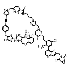 Cc1c(CC[C@@H]2CN(Cc3cnn(CCCNC(=O)c4ccc(Cn5cc(C#Cc6ccc(Cc7nc(C(=O)N[C@@H]8COc9ccccc9N(C)C8=O)n[nH]7)cc6)cn5)nn4)c3)C[C@@H](C)N2)cc(Cl)cc1-c1ccnc2cc(CN3C(=O)C4CC4C3=O)sc12